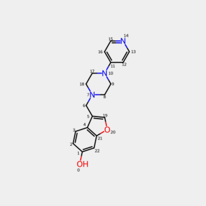 Oc1ccc2c(CN3CCN(c4ccncc4)CC3)coc2c1